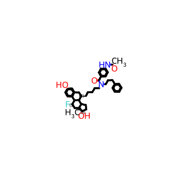 CC(=O)Nc1ccc(C(=O)N(CCCCC[C@@H]2Cc3cc(O)ccc3C3C2C2CC[C@H](O)[C@@]2(C)C[C@@H]3F)CCCc2ccccc2)cc1